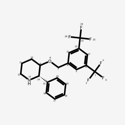 FC(F)(F)c1cc(COC2CCCN[C@H]2c2ccccc2)cc(C(F)(F)F)c1